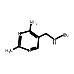 CCC(C)NCc1cnc(C)nc1N